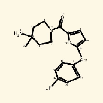 CC1(N)CCN(C(=O)c2ccc(Sc3ccc(F)cc3)o2)CC1